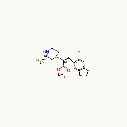 COC(=O)[C@H](Cc1cc2c(cc1F)CCC2)N1CCN[C@@H](C)C1